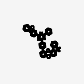 CC1(C)c2ccccc2-c2c1ccc1c2Oc2c(cccc2-c2ccc(-c3nc(-c4ccccc4)nc(-c4ccc5c(c4)oc4ccccc45)n3)cc2)O1